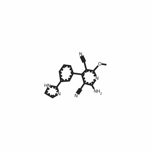 COc1nc(N)c(C#N)c(-c2cccc(-c3ncc[nH]3)c2)c1C#N